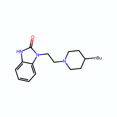 CCCCC1CCN(CCn2c(=O)[nH]c3ccccc32)CC1